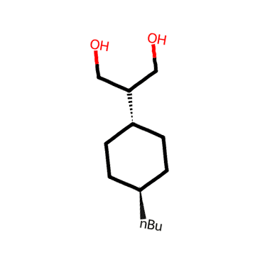 CCCC[C@H]1CC[C@H](C(CO)CO)CC1